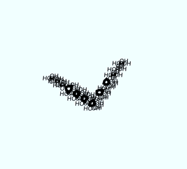 O=P(O)(O)O.O=P(O)(O)O.O=P(O)(O)O.O=P(O)(O)O.O=P(O)(O)O.O=P(O)(O)O.OC1(O)CCCC(O)(O)C1(O)O.OC1(O)CCCC(O)(O)C1(O)O.OC1(O)CCCC(O)(O)C1(O)O.OC1(O)CCCC(O)(O)C1(O)O.OC1(O)CCCC(O)(O)C1(O)O.OC1(O)CCCC(O)(O)C1(O)O